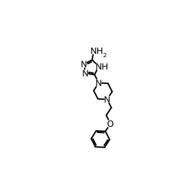 Nc1nnc(N2CCN(CCOc3ccccc3)CC2)[nH]1